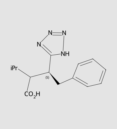 CC(C)C(C(=O)O)[C@H](Cc1ccccc1)c1nnn[nH]1